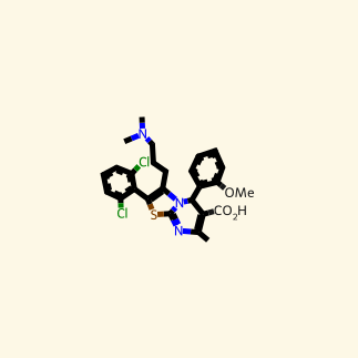 COc1ccccc1C1C(C(=O)O)=C(C)N=C2SC(c3c(Cl)cccc3Cl)=C(CCCN(C)C)N21